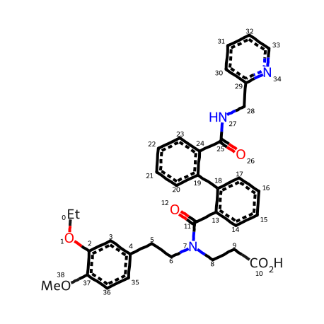 CCOc1cc(CCN(CCC(=O)O)C(=O)c2ccccc2-c2ccccc2C(=O)NCc2ccccn2)ccc1OC